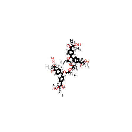 CC(COC(C)COC(c1ccc(C(=O)C(C)(C)O)cc1)c1ccc(C(=O)C(C)(C)O)cc1)OCC(C)OC(c1ccc(C(=O)C(C)(C)O)cc1)c1ccc(C(=O)C(C)(C)O)cc1